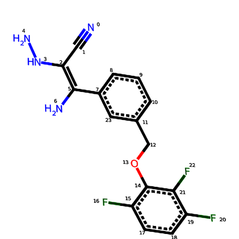 N#C/C(NN)=C(/N)c1cccc(COc2c(F)ccc(F)c2F)c1